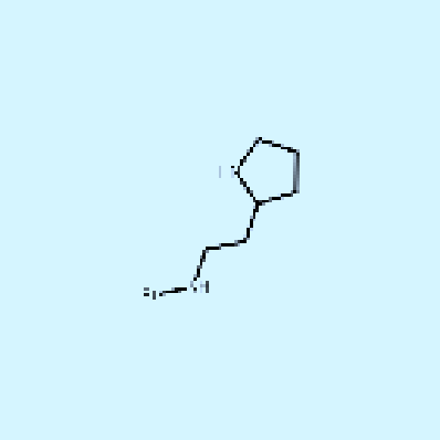 CCNCCC1CCCN1